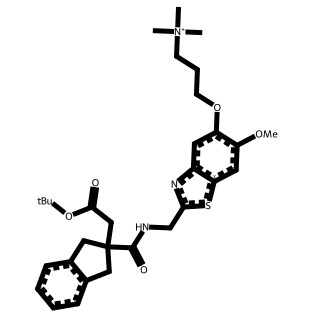 COc1cc2sc(CNC(=O)C3(CC(=O)OC(C)(C)C)Cc4ccccc4C3)nc2cc1OCCC[N+](C)(C)C